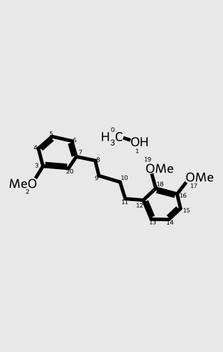 CO.COc1cccc(CCCCc2cccc(OC)c2OC)c1